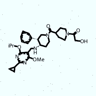 COc1nc(C2CC2)nc(OC(C)C)c1CN[C@H]1CCN(C(=O)C2CCN(C(=O)CO)CC2)C[C@H]1c1ccccc1